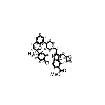 COC(=O)c1ccc2nc(CN3CCC(c4cccc5c4O[C@@](C)(c4ccc(Cl)cn4)C=C5)CC3)n(C[C@@H]3CCO3)c2c1